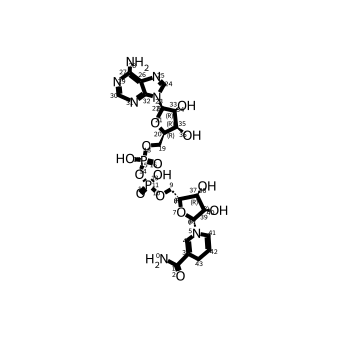 NC(=O)C1=CN([C@@H]2O[C@H](COP(=O)(O)OP(=O)(O)OC[C@H]3O[C@@H](n4cnc5c(N)ncnc54)[C@H](O)[C@H]3O)[C@H](O)[C@H]2O)C=CC1